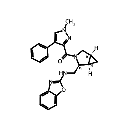 Cn1cc(-c2ccccc2)c(C(=O)N2C[C@H]3C[C@H]3[C@H]2CNc2nc3ccccc3o2)n1